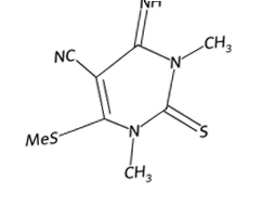 CSc1c(C#N)c(=N)n(C)c(=S)n1C